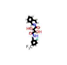 O=C(NCc1cc(C(F)(F)F)ccc1F)[C@H](O)[C@@H](O)C(=O)N1CCc2ccccc2C1